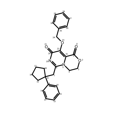 O=C1OCCn2c(CC3(c4ccccc4)CCCC3)nc(=O)c(OCc3ccccc3)c21